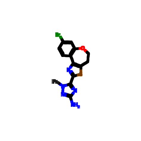 CC(C)n1nc(N)nc1-c1nc2c(s1)CCOc1cc(Br)ccc1-2